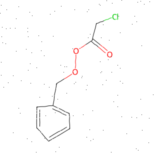 O=C(CCl)OOCc1ccccc1